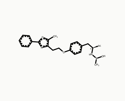 CB(O)N[C@@H](Cc1ccc(OCCc2nc(-c3ccccc3)oc2C)cc1)C(C)=O